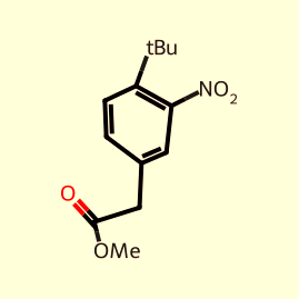 COC(=O)Cc1ccc(C(C)(C)C)c([N+](=O)[O-])c1